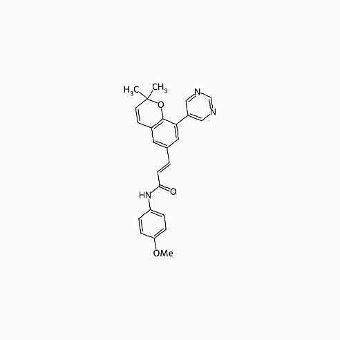 COc1ccc(NC(=O)C=Cc2cc3c(c(-c4cncnc4)c2)OC(C)(C)C=C3)cc1